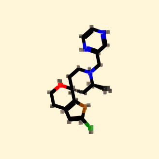 C[C@H]1C[C@@]2(CCN1Cc1cnccn1)OCCc1cc(Cl)sc12